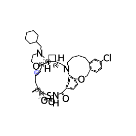 C[C@@H]1[C@@H](C)C/C=C/[C@]2(CN(CC3CCCCC3)CCO2)[C@@H]2CC[C@H]2CN2CCCCc3cc(Cl)ccc3COc3ccc(cc32)C(=O)NS1(=O)=O